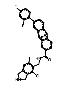 Cc1cc2c(c(Cl)c1CNC(=O)c1ccc3c(c1)c1oc3c3ccc(-c4ccc(F)cc4F)cc31)CNC2